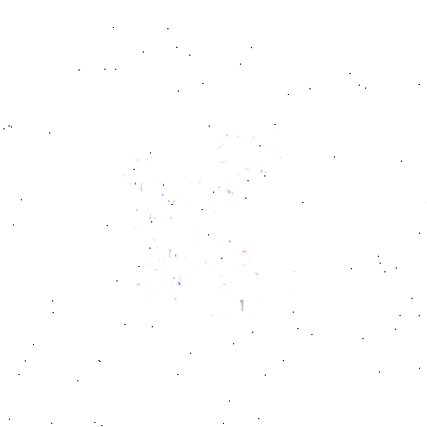 c1ccc(N2c3cc4c(cc3B3c5cc6oc7c8ccccc8c8ccccc8c7c6cc5N(c5ccccn5)c5cccc2c53)oc2c3ccccc3ccc42)nc1